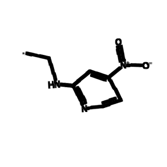 [CH2]CNc1cc([N+](=O)[O-])ccn1